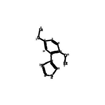 CCOc1ccc(OCC)c(-c2cscn2)c1